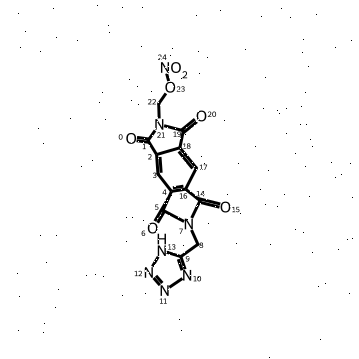 O=c1c2cc3c(=O)n(Cc4nnn[nH]4)c(=O)c3cc2c(=O)n1CO[N+](=O)[O-]